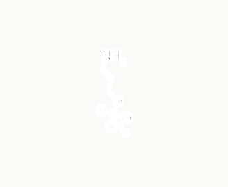 CS(=O)(=O)OCC=CN